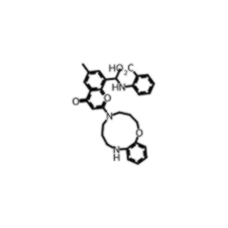 Cc1cc(C(C)Nc2ccccc2C(=O)O)c2oc(N3CCCNc4ccccc4OCCC3)cc(=O)c2c1